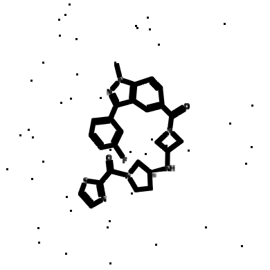 Cn1nc(-c2cccc(F)c2)c2cc(C(=O)N3CC(N[C@H]4CCN(C(=O)c5nccs5)C4)C3)ccc21